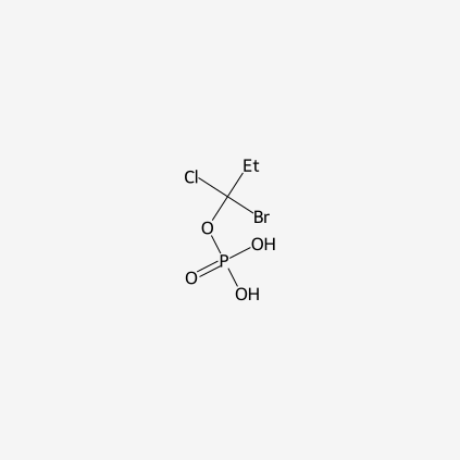 CCC(Cl)(Br)OP(=O)(O)O